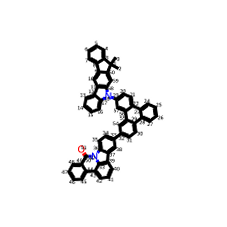 CC1(C)c2ccccc2-c2cc3c4ccccc4n(-c4ccc5c6ccccc6c6ccc(-c7ccc8c(c7)c7cccc9c%10ccccc%10c(=O)n8c97)cc6c5c4)c3cc21